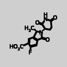 C[C@@H]1c2cc(C(=O)O)c(F)cc2C(=O)N1[C@H]1CCC(=O)NC1=O